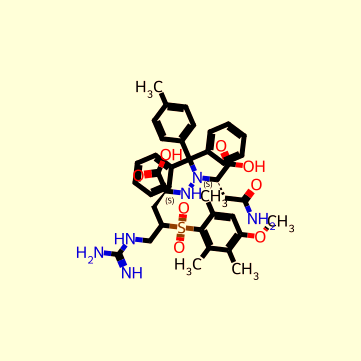 COc1cc(C)c(S(=O)(=O)C(CNC(=N)N)C[C@H](NN([C@@H](CC(N)=O)C(=O)O)C(c2ccccc2)(c2ccccc2)c2ccc(C)cc2)C(=O)O)c(C)c1C